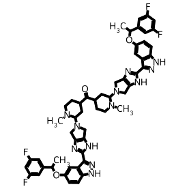 CC(Oc1ccc2[nH]nc(-c3nc4c([nH]3)CN(C3CC(C(=O)C5CCN(C)C(N6Cc7nc(-c8n[nH]c9ccc(OC(C)c%10cc(F)cc(F)c%10)cc89)[nH]c7C6)C5)CCN3C)C4)c2c1)c1cc(F)cc(F)c1